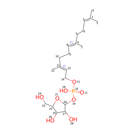 CC(C)=CCC/C(C)=C/CC/C(C)=C/COP(=O)(O)OC1OC(CO)C(O)C1O